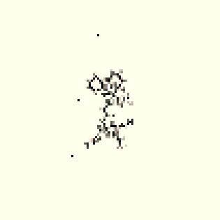 CC(C)(C)[Si](OCCCCC(CN=[N+]=[N-])(CN=[N+]=[N-])CN=[N+]=[N-])(c1ccccc1)c1ccccc1